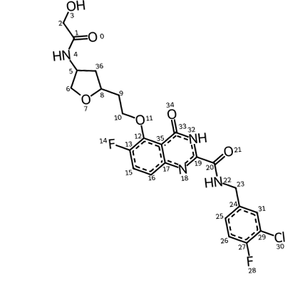 O=C(CO)NC1COC(CCOc2c(F)ccc3nc(C(=O)NCc4ccc(F)c(Cl)c4)[nH]c(=O)c23)C1